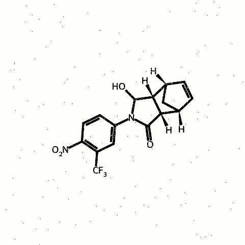 O=C1[C@@H]2[C@H](C(O)N1c1ccc([N+](=O)[O-])c(C(F)(F)F)c1)[C@@H]1C=C[C@H]2C1